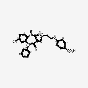 CN1c2ccc(Cl)cc2N(c2ccccc2)C(=O)c2cn(CCOc3ccc(C(=O)O)cc3)nc21